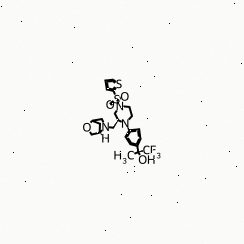 C[C@@](O)(c1ccc(N2CCN(S(=O)(=O)c3cccs3)C[C@@H]2CN2CC3C[C@@H]2CO3)cc1)C(F)(F)F